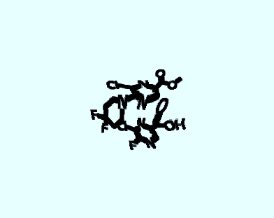 COC(=O)c1cnc(N2CCC(F)(F)CC2)c(Cl)n1.O=C(O)c1cnc(F)c(Cl)n1